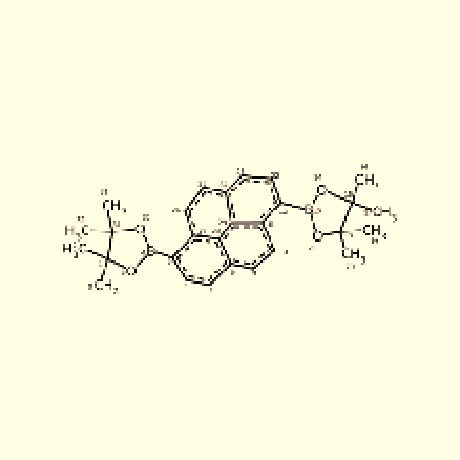 CC1(C)OB(c2ccc3ccc4c(B5OC(C)(C)C(C)(C)O5)ccc5ccc2c3c54)OC1(C)C